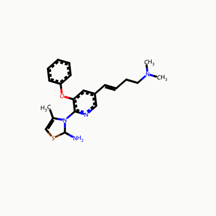 CC1=CSC(N)N1c1ncc(C=CCCN(C)C)cc1Oc1ccccc1